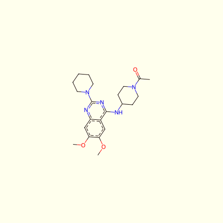 COc1cc2nc(N3CCCCC3)nc(NC3CCN(C(C)=O)CC3)c2cc1OC